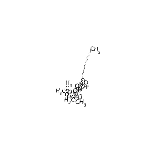 CCCCCCCCCCCCCCCCOCn1c(=O)c(F)cn([C@H]2C[C@@](O)(C(=O)C(C)C)[C@@H](COC(=O)C(C)C)O2)c1=O